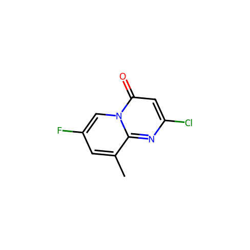 Cc1cc(F)cn2c(=O)cc(Cl)nc12